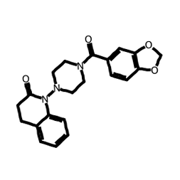 O=C(c1ccc2c(c1)OCO2)N1CCN(N2C(=O)CCc3ccccc32)CC1